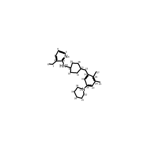 CCc1cccnc1NC1CCC(Cc2cc(N3CCCCC3)cc(C)c2C)CC1